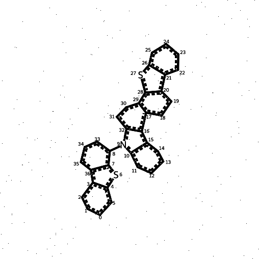 c1ccc2c(c1)sc1c(-n3c4ccccc4c4c5ccc6c7ccccc7sc6c5ccc43)cccc12